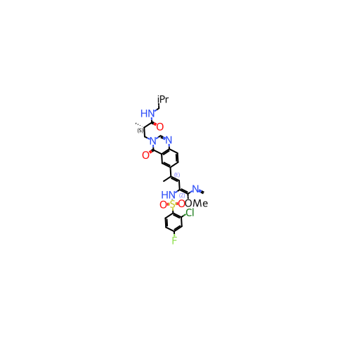 C=N/C(OC)=C(\C=C(/C)c1ccc2ncn(C[C@H](C)C(=O)NCC(C)C)c(=O)c2c1)NS(=O)(=O)c1ccc(F)cc1Cl